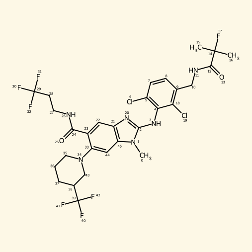 Cn1c(Nc2c(Cl)ccc(CNC(=O)C(C)(C)F)c2Cl)nc2cc(C(=O)NCCC(F)(F)F)c(N3CCCC(C(F)(F)F)C3)cc21